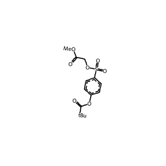 COC(=O)COS(=O)(=O)c1ccc(OC(=O)C(C)(C)C)cc1